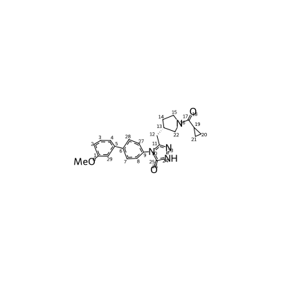 COc1cccc(-c2ccc(-n3c(C[C@@H]4CCN(C(=O)C5CC5)C4)n[nH]c3=O)cc2)c1